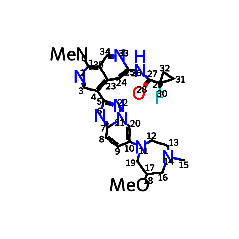 CNc1ncc(-c2nc3ccc(N4CCN(C)CC(OC)C4)cn3n2)c2cc(NC(=O)C3(F)CC3)ncc12